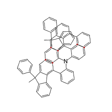 CC1(c2ccccc2)c2ccccc2-c2c(-c3ccccc3N(c3ccccc3-c3cccc4cccc(-c5ccccc5)c34)c3cccc4c3-c3ccccc3C4(C)c3ccccc3)cccc21